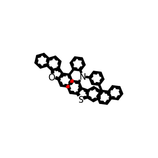 c1cc(-c2cccc3ccccc23)cc(N(c2ccccc2-c2cccc3oc4c5ccccc5ccc4c23)c2cccc3sc4ccccc4c23)c1